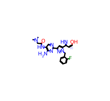 CN(C)CC(=O)Nc1cnc(-c2cc(C(=N)/C=C\O)n(Cc3ccccc3F)n2)nc1N